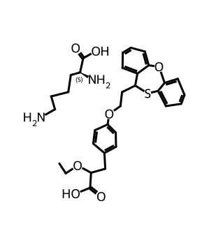 CCOC(Cc1ccc(OCCC2Sc3ccccc3Oc3ccccc32)cc1)C(=O)O.NCCCC[C@H](N)C(=O)O